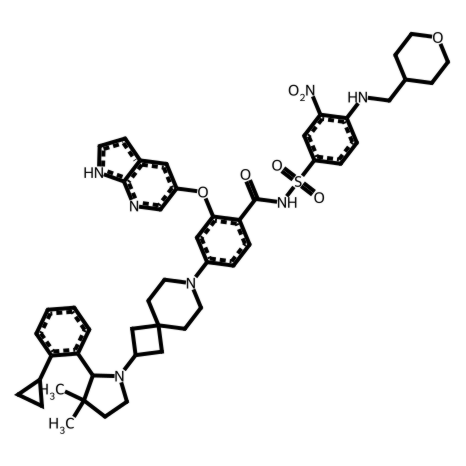 CC1(C)CCN(C2CC3(CCN(c4ccc(C(=O)NS(=O)(=O)c5ccc(NCC6CCOCC6)c([N+](=O)[O-])c5)c(Oc5cnc6[nH]ccc6c5)c4)CC3)C2)C1c1ccccc1C1CC1